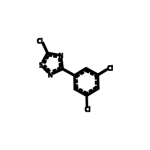 Clc1cc(Cl)cc(-c2nsc(Cl)n2)c1